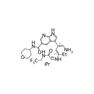 CC/C(=C\C(=C/N)c1c[nH]c2ncc(C(=O)NC3CCOCC3)cc12)N[C@@H](C(=O)NCC(F)(F)F)C(C)C